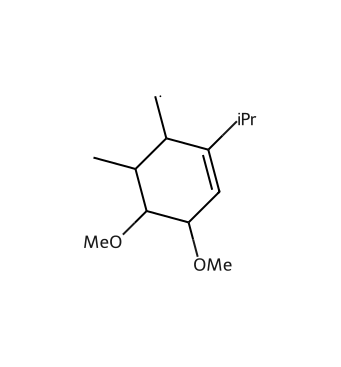 [CH2]C1C(C(C)C)=CC(OC)C(OC)C1C